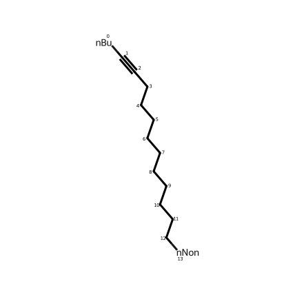 [CH2]CCCC#CCCCCCCCCCCCCCCCCCC[CH2]